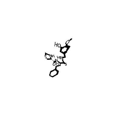 COc1ccc(CNC(=S)[C@@H](CCC2CCCCC2)NC(=O)[C@@H]2CSCN2)cc1O